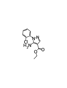 CCOC(=O)c1cnn(-c2ccccc2Cl)c1N